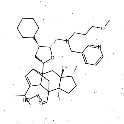 COCCCN(Cc1cccnc1)C[C@@H]1O[C@@H](C23C[C@@H]4[C@H](C)CC[C@H]4C4(C=O)CC2C=C(C(C)C)[C@]43C(=O)O)C[C@H]1C1CCCCC1